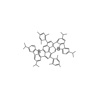 Cc1cc(C)c(-c2cc3c4c(cc5c(-c6c(C)cc(C)cc6C)cc6c7c(cc2c4c57)B2c4ccc(C(C)C)cc4-c4cc(C(C)C)cc-6c42)B2c4ccc(C(C)C)cc4-c4cc(C(C)C)cc-3c42)c(C)c1